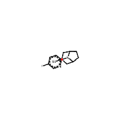 CCN1CC2CCC(C1)N2c1ccc(F)cn1